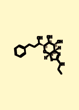 CCNC1=N[C@@H]2[C@@H](O)[C@H](O)[C@@H](C(O)CCc3ccccc3)O[C@@H]2S1